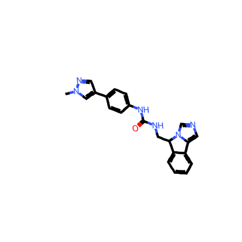 Cn1cc(-c2ccc(NC(=O)NCC3c4ccccc4-c4cncn43)cc2)cn1